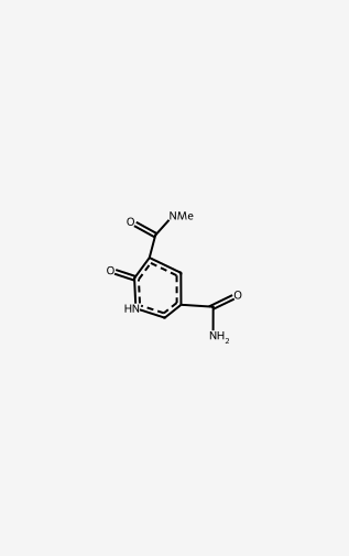 CNC(=O)c1cc(C(N)=O)c[nH]c1=O